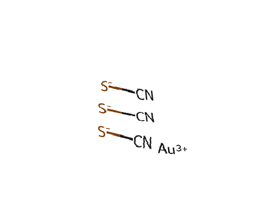 N#C[S-].N#C[S-].N#C[S-].[Au+3]